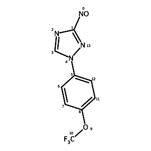 O=Nc1ncn(-c2ccc(OC(F)(F)F)cc2)n1